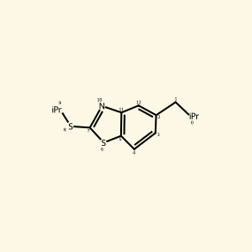 CC(C)Cc1ccc2sc(SC(C)C)nc2c1